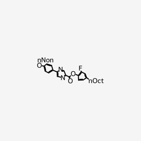 CCCCCCCCCOc1ccc(-c2cnc(C(=O)Oc3ccc(CCCCCCCC)cc3F)cn2)cc1